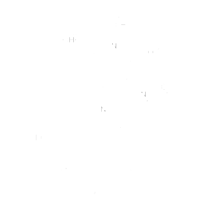 CCc1oc2ccccc2c1CN1CCN(C)C(C(=O)N(C)CC=O)C1